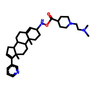 CN(C)CCN1CCC(C(=O)ONC2C=C3CCC4C(CCC5(C)C(c6cccnc6)=CCC45)C3(C)CC2)CC1